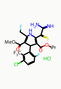 COC(=O)C1=C(CF)NC(C(=S)C(=N)N)=C(C(=O)OC(C)C)C1c1c(F)ccc(Cl)c1C(F)(F)F.Cl